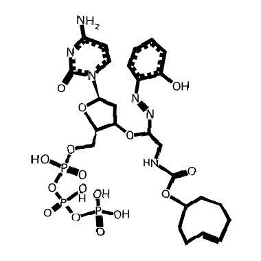 Nc1ccn([C@H]2CC(OC(CNC(=O)OC3CC/C=C/CCC3)/N=N/c3ccccc3O)[C@@H](COP(=O)(O)OP(=O)(O)OP(=O)(O)O)O2)c(=O)n1